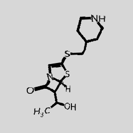 CC(O)C1C(=O)N2C=C(SCC3CCNCC3)S[C@H]12